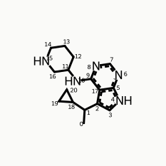 CC(c1c[nH]c2ncnc(NC3CCCNC3)c12)C1CC1